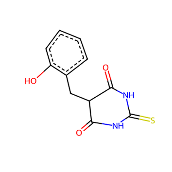 O=C1NC(=S)NC(=O)C1Cc1ccccc1O